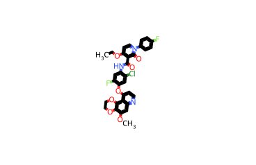 CCOc1ccn(-c2ccc(F)cc2)c(=O)c1C(=O)Nc1cc(F)c(Oc2ccnc3cc(OC)c4c(c23)OCCO4)cc1Cl